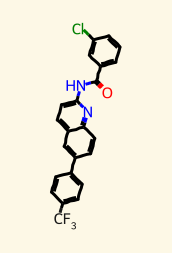 O=C(Nc1ccc2cc(-c3ccc(C(F)(F)F)cc3)ccc2n1)c1cccc(Cl)c1